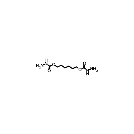 NNC(=O)OCCCCCCOC(=O)NN